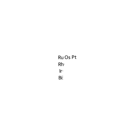 [Bi].[Ir].[Os].[Pt].[Rh].[Ru]